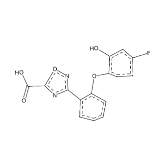 O=C(O)c1nc(-c2ccccc2Oc2ccc(F)cc2O)no1